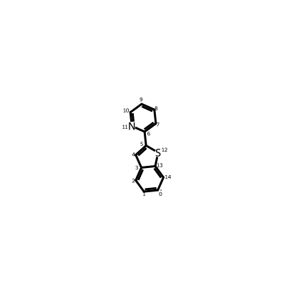 [c]1ccc2cc(-c3ccccn3)sc2c1